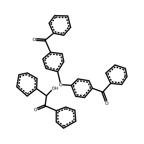 O=C(c1ccccc1)C(O)c1ccccc1.O=C(c1ccccc1)c1ccc(Oc2ccc(C(=O)c3ccccc3)cc2)cc1